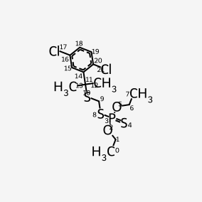 CCOP(=S)(OCC)SCSC(C)(C)c1cc(Cl)ccc1Cl